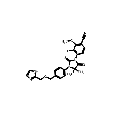 COc1c(C#N)ccc(N2C(=O)C(C)(C)N(c3ccc(COCc4ncc[nH]4)cc3)C2=S)c1F